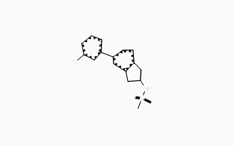 CC(C)S(=O)(=O)NC1Cc2ccc(-c3cccc(N)c3)cc2C1